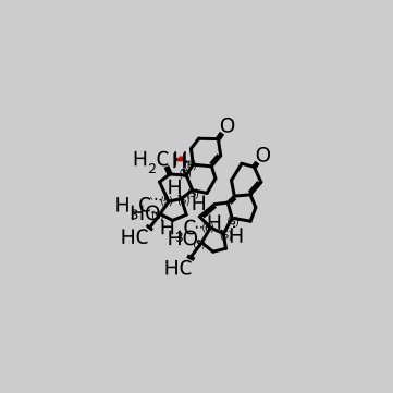 C#C[C@]1(O)CC[C@H]2[C@@H]3CCC4=CC(=O)CCC4=C3C=C[C@@]21C.C#C[C@]1(O)CC[C@H]2[C@@H]3CCC4=CC(=O)CC[C@@H]4[C@H]3C(=C)C[C@@]21CC